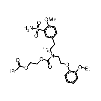 CCOc1ccccc1OCCN(C(=O)OCCOC(=O)C(C)C)[C@H](C)Cc1ccc(OC)c(S(N)(=O)=O)c1